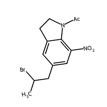 CC(=O)N1CCc2cc(CC(C)Br)cc([N+](=O)[O-])c21